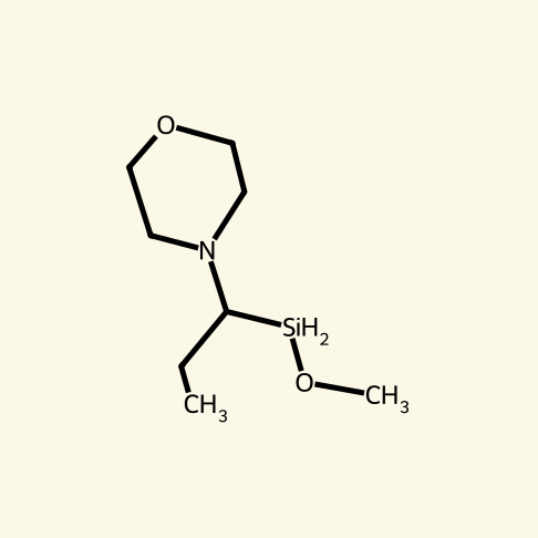 CCC([SiH2]OC)N1CCOCC1